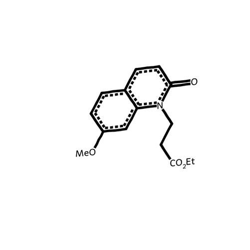 CCOC(=O)CCn1c(=O)ccc2ccc(OC)cc21